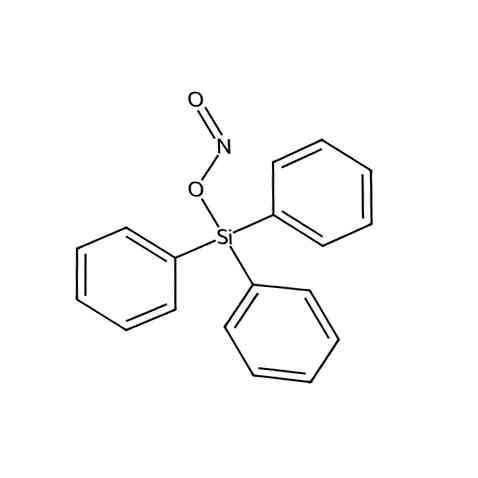 O=NO[Si](c1ccccc1)(c1ccccc1)c1ccccc1